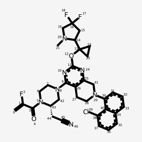 C=C(F)C(=O)N1CCN(c2nc(OC3(C4CC(F)(F)CN4C)CC3)nc3c2CCN(c2cccc4cccc(Cl)c24)C3)C[C@@H]1CC#N